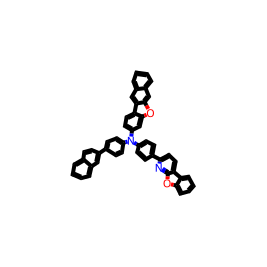 c1ccc2cc(-c3ccc(N(c4ccc(-c5ccc6c(n5)oc5ccccc56)cc4)c4ccc5c(c4)oc4cc6ccccc6cc45)cc3)ccc2c1